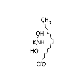 CCCCCCCC/C=C\CCCCCCCC(=O)[O-].OCCNCCO.[K+]